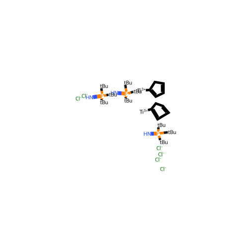 CC(C)(C)P(=N)(C(C)(C)C)C(C)(C)C.CC(C)(C)P(=N)(C(C)(C)C)C(C)(C)C.CC(C)(C)P(=N)(C(C)(C)C)C(C)(C)C.[Cl-].[Cl-].[Cl-].[Cl-].[Cl-].[Cl-].[Ti+3][C]1=CC=CC1.[Ti+3][C]1=CC=CC1